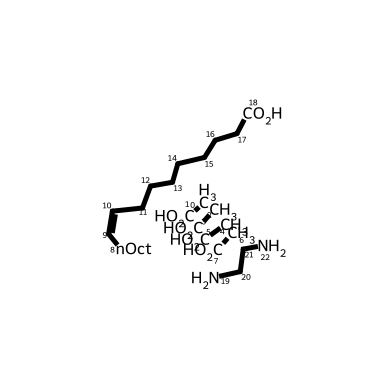 CC(=O)O.CC(=O)O.CC(=O)O.CC(=O)O.CCCCCCCC/C=C\CCCCCCCC(=O)O.NCCN